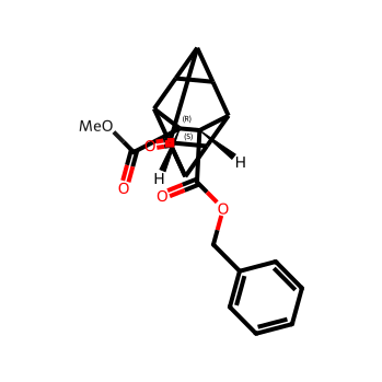 COC(=O)[C@@H]1C2C3C4C(=O)C5C2C5C(C43)[C@@H]1C(=O)OCc1ccccc1